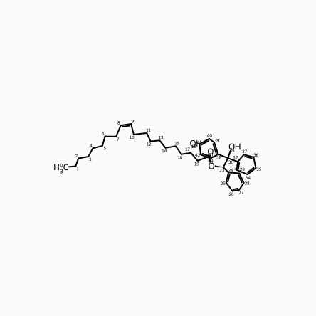 CCCCCCCC/C=C\CCCCCCC[C@H](O)CC(=O)O[C@H](c1ccccc1)C(O)(c1ccccc1)c1ccccc1